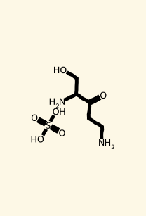 NCCC(=O)C(N)CO.O=S(=O)(O)O